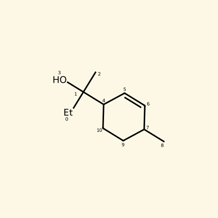 CCC(C)(O)C1C=CC(C)CC1